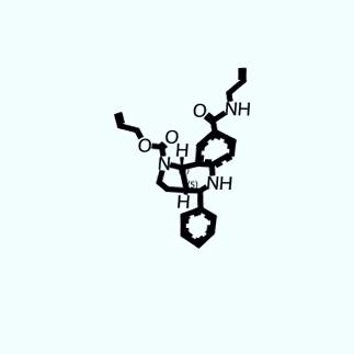 C=CCNC(=O)c1ccc2c(c1)[C@@H]1[C@@H](CCN1C(=O)OCC=C)C(c1ccccc1)N2